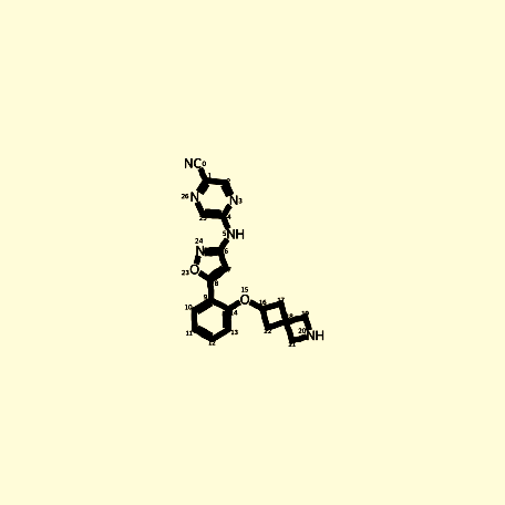 N#Cc1cnc(Nc2cc(-c3ccccc3OC3CC4(CNC4)C3)on2)cn1